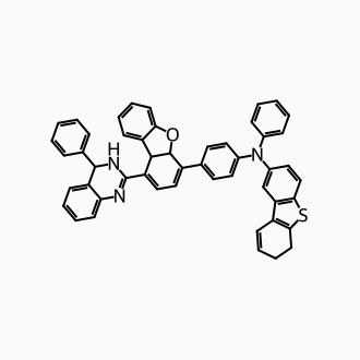 C1=Cc2c(sc3ccc(N(c4ccccc4)c4ccc(C5=CC=C(C6=Nc7ccccc7C(c7ccccc7)N6)C6c7ccccc7OC56)cc4)cc23)CC1